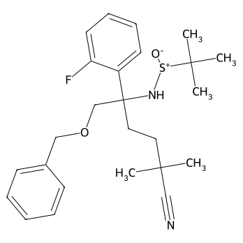 CC(C)(C#N)CCC(COCc1ccccc1)(N[S+]([O-])C(C)(C)C)c1ccccc1F